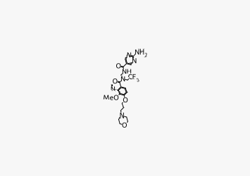 C=Nc1c(C(=O)N(CNC(=O)c2cnc(N)nc2)CC(F)(F)F)ccc(OCCCN2CCOCC2)c1OC